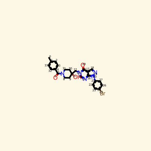 Cc1ccc(C(=O)N2CCC(O)(Cn3cnc4c(cnn4-c4ccc(Br)cc4)c3=O)CC2)cc1